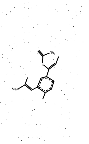 C=C(N)S/C(=C\C)c1ccc(C)c(/C=C(\C)NC)c1